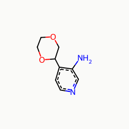 Nc1cnccc1C1COCCO1